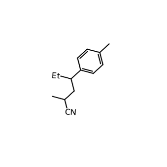 CCC(CC(C)C#N)c1ccc(C)cc1